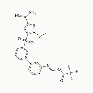 CSc1sc(C(=N)N)cc1S(=O)(=O)c1cccc(-c2cccc(N=COC(=O)C(F)(F)F)c2)c1